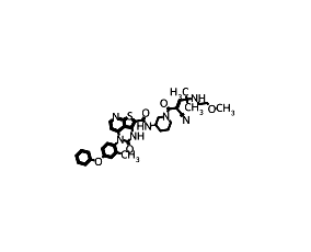 COCCNC(C)(C)C=C(C#N)C(=O)N1CCC[C@@H](NC(=O)c2sc3nccc4c3c2NC(=O)N4c2ccc(Oc3ccccc3)cc2C)C1